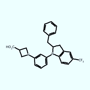 O=C(O)C1CN(c2cccc(N3c4ccc(C(F)(F)F)cc4CC3Cc3ccccc3)c2)C1